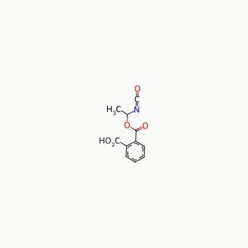 CC(N=C=O)OC(=O)c1ccccc1C(=O)O